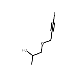 CC(O)COCC#CI